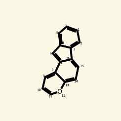 c1ccc2c(c1)cc1c3cccoc3ccc21